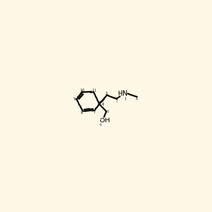 CNCCC1(CO)C=CC=CC1